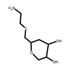 NCCSCC1CC(O)C(O)CO1